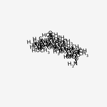 CC(=O)NC1C(OC2C(O)C(CO)OC(OC3C(CO)OC(OC4C(O)C(CO)OC(OC5C(O)C(C)OC(OC6C(O)C(CO)OC(OC7C(CO)OC(OCCN)C8O[C@@](C)(C(=O)O)OC78)C6NC(C)=O)C5NC(C)=O)C4NC(C)=O)C4O[C@@](C)(C(=O)O)OC34)C2NC(C)=O)OC(C)C(O)C1O